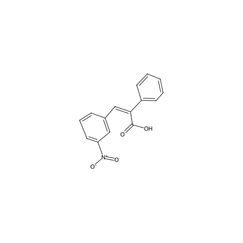 O=C(O)C(=Cc1cccc([N+](=O)[O-])c1)c1ccccc1